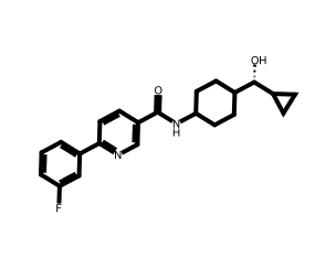 O=C(NC1CCC([C@H](O)C2CC2)CC1)c1ccc(-c2cccc(F)c2)nc1